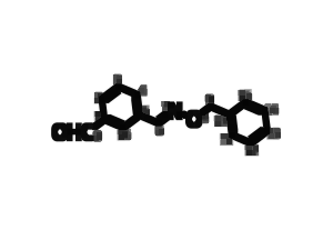 O=Cc1cccc(/C=N/OCc2ccccc2)c1